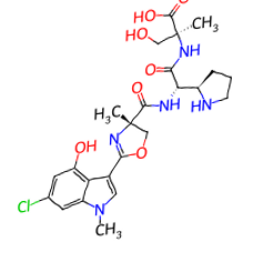 Cn1cc(C2=N[C@](C)(C(=O)N[C@H](C(=O)N[C@@](C)(CO)C(=O)O)[C@H]3CCCN3)CO2)c2c(O)cc(Cl)cc21